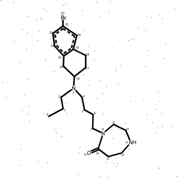 CCCN(CCCCN1CCNCCC1=O)C1CCc2cc(Br)ccc2C1